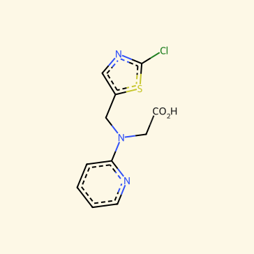 O=C(O)CN(Cc1cnc(Cl)s1)c1ccccn1